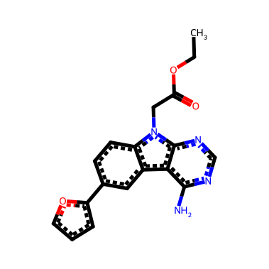 CCOC(=O)Cn1c2ccc(-c3ccco3)cc2c2c(N)ncnc21